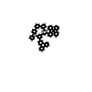 c1ccc(-c2ccc3c4ccccc4n(-c4cc(-c5ccc6c7ccccc7c7ccccc7c6c5)cc(-c5cc(-c6cccc7c6-c6ccccc6C7(c6ccccc6)c6ccccc6)nc(-c6ccccc6)n5)c4)c3c2)cc1